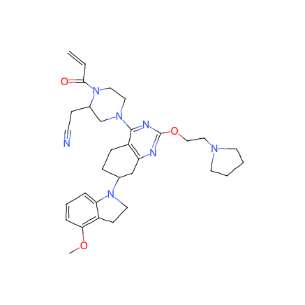 C=CC(=O)N1CCN(c2nc(OCCN3CCCC3)nc3c2CCC(N2CCc4c(OC)cccc42)C3)CC1CC#N